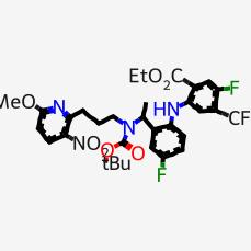 CCOC(=O)c1cc(F)c(C(F)(F)F)cc1Nc1ccc(F)cc1C(C)N(CCCc1nc(OC)ccc1[N+](=O)[O-])C(=O)OC(C)(C)C